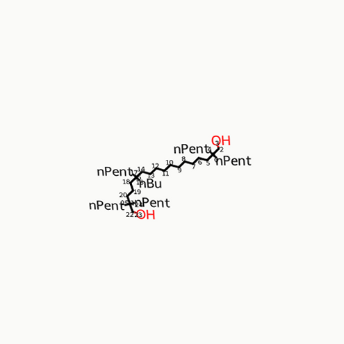 CCCCCC(CO)(CCCCC)CCCCCCCCCCC(CCCC)(CCCCC)CCCC(CO)(CCCCC)CCCCC